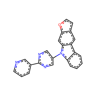 c1cncc(-c2ncc(-n3c4ccccc4c4cc5ccoc5cc43)cn2)c1